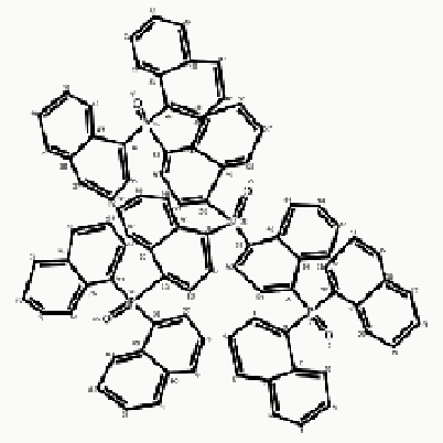 O=P(c1cccc2ccccc12)(c1cccc2ccccc12)c1ccc(P(=O)(c2ccc(P(=O)(c3cccc4ccccc34)c3cccc4ccccc34)c3ccccc23)c2ccc(P(=O)(c3cccc4ccccc34)c3cccc4ccccc34)c3ccccc23)c2ccccc12